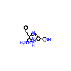 Nc1cc(C(CCCc2ccccc2)c2cnn(Cc3cccc(C4CCNCC4)c3)c2)c2nn[nH]c2n1